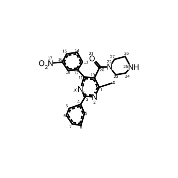 Cc1nc(-c2ccccc2)nc(-c2cccc([N+](=O)[O-])c2)c1C(=O)N1CCNCC1